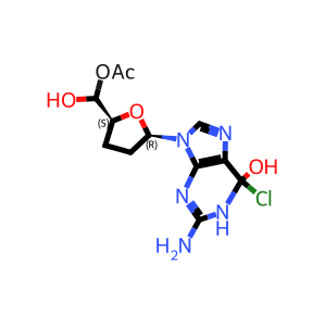 CC(=O)OC(O)[C@@H]1CC[C@H](n2cnc3c2N=C(N)NC3(O)Cl)O1